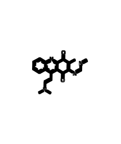 C=N/C=N\C1=C(C)C(=O)c2nc3ccccc3c(/C=C/N(C)C)c2C1=O